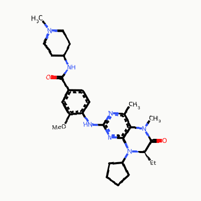 CC[C@@H]1C(=O)N(C)c2c(C)nc(Nc3ccc(C(=O)NC4CCN(C)CC4)cc3OC)nc2N1C1CCCC1